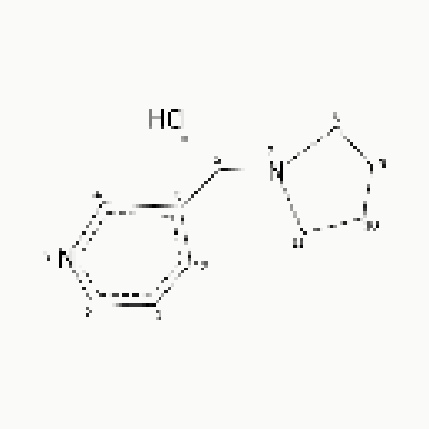 Cl.c1cncc(CN2CCCC2)c1